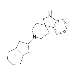 c1ccc2c(c1)NCC21CCN(C2CC3CCCCC3C2)CC1